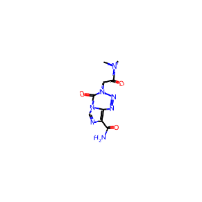 CN(C)C(=O)Cn1nnc2c(C(N)=O)ncn2c1=O